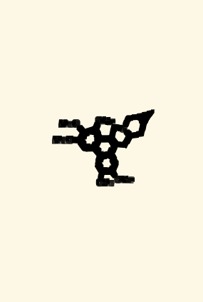 COc1cc2c3c(c4c(OC)c(OC)c(OC)cc4c2cc1OC)CN1CC2CC2CC1C3